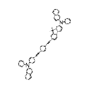 CC1(C)c2cc(C#Cc3ccc(C#Cc4ccc(N(c5ccccc5)c5ccc6ccccc6c5)cc4)cc3)ccc2-c2ccc(N(c3ccccc3)c3ccc4ccccc4c3)cc21